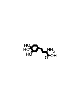 N[C@@H](CCC1=CC(O)C(O)(O)C=C1)C(=O)O